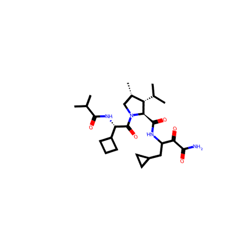 CC(C)C(=O)N[C@H](C(=O)N1C[C@H](C)[C@H](C(C)C)[C@H]1C(=O)NC(CC1CC1)C(=O)C(N)=O)C1CCC1